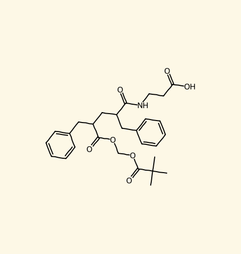 CC(C)(C)C(=O)OCOC(=O)C(Cc1ccccc1)CC(Cc1ccccc1)C(=O)NCCC(=O)O